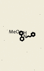 COc1cccc(C2CCCCC2NCCCc2ccccc2)c1